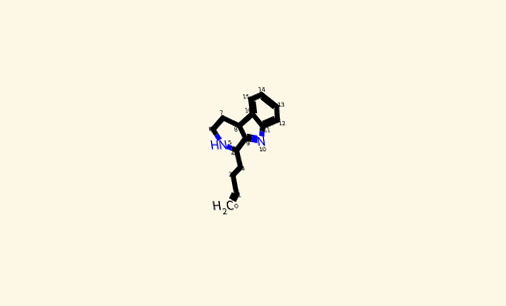 C=CCCC1NCCC2C1=Nc1ccccc12